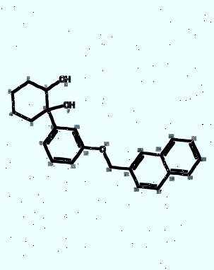 OC1CCCCC1(O)c1cccc(OCc2ccc3ccccc3c2)c1